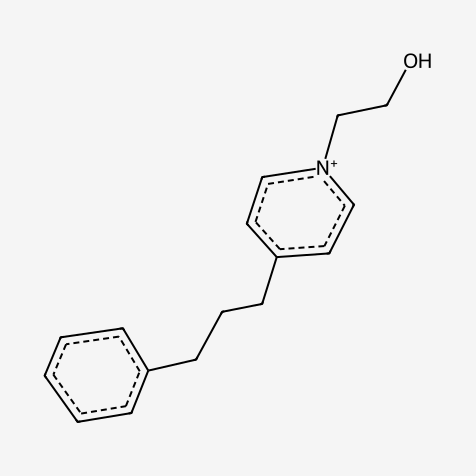 OCC[n+]1ccc(CCCc2ccccc2)cc1